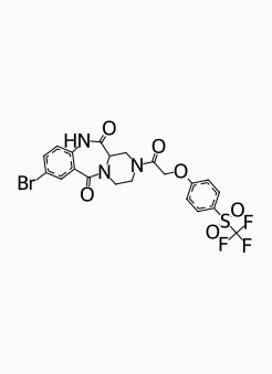 O=C1Nc2ccc(Br)cc2C(=O)N2CCN(C(=O)COc3ccc(S(=O)(=O)C(F)(F)F)cc3)CC12